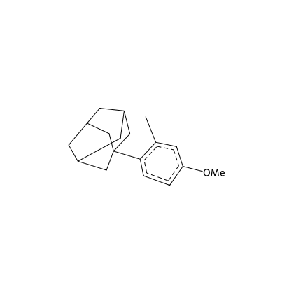 COc1ccc(C23CC4CC(CC(C4)C2)C3)c(C)c1